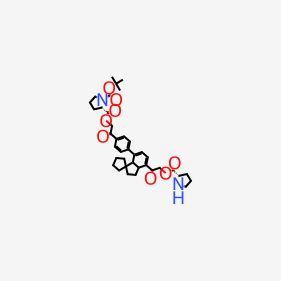 CC(C)(C)OC(=O)N1CCC[C@H]1C(=O)OCC(=O)c1ccc(C2=CC=C(C(=O)COC(=O)[C@@H]3CCCN3)C3CCC4(CCCC4)C23)cc1